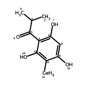 CC(C)C(=O)c1c(O)cc(O)[c]([GeH3])c1O